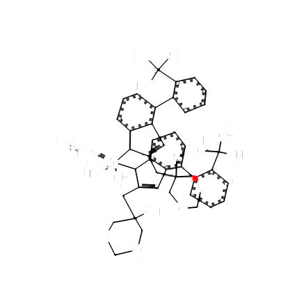 CC1(CC2=Cc3c(-c4ccccc4C(C)(C)C)cccc3[CH]2[Zr]([CH3])([CH3])(=[SiH2])[CH]2C(CC3(C)COCOC3)=Cc3c(-c4ccccc4C(C)(C)C)cccc32)COCOC1.Cl.Cl